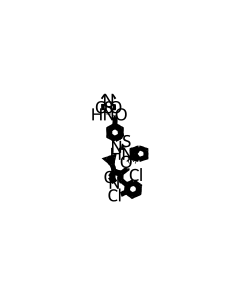 CN(C)S(=O)(=O)NC(=O)c1ccc2nc(NC3C4CCC3[C@H](OCc3c(-c5c(Cl)cccc5Cl)noc3C3CC3)C4)sc2c1